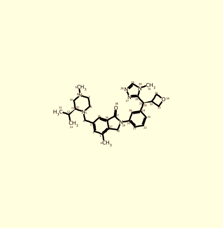 Cc1cc(CN2CCN(C)C[C@@H]2C(C)C)cc2c1CN(c1cccc([C@@H](c3nncn3C)C3COC3)c1)C2=O